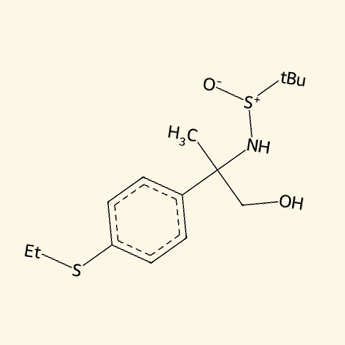 CCSc1ccc(C(C)(CO)N[S+]([O-])C(C)(C)C)cc1